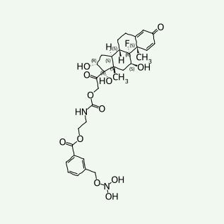 C[C@]12C=CC(=O)C=C1CC[C@H]1[C@@H]3C[C@@H](O)[C@](O)(C(=O)COC(=O)NCCOC(=O)c4cccc(CON(O)O)c4)[C@@]3(C)C[C@H](O)[C@@]12F